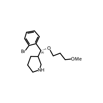 COCCCO[C@@H](c1ccccc1Br)C1CCCNC1